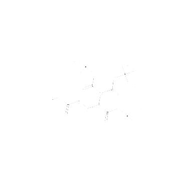 COC(=O)CCC(C(=O)OC(C)(C)C)N(C(=O)OC(C)(C)C)C(=O)OC(C)(C)C